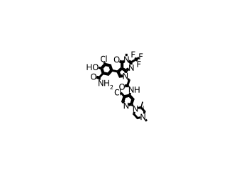 C[C@H]1CN(C)CCN1c1cc(NC(=O)Cn2cc(-c3cc(Cl)c(O)c(C(N)=O)c3)c3c(=O)n(C)c(C(F)(F)F)nc32)c(Cl)cn1